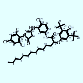 CCCCCCCCCCCCC(Oc1cc(C(C)(C)C)c(O)c(C(C)(C)C)c1)C(=O)Nc1ccc(Cl)c(NC2=NN(c3c(Cl)cc(Cl)cc3Cl)C(=O)C2)c1